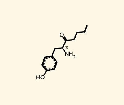 CCCCC(=O)[C@@H](N)Cc1ccc(O)cc1